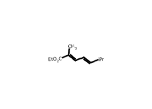 CCOC(=O)/C(C)=C/C=C/C(C)C